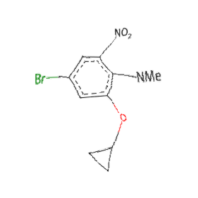 CNc1c(OC2CC2)cc(Br)cc1[N+](=O)[O-]